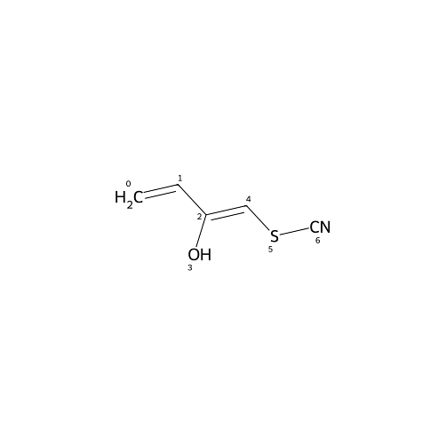 C=CC(O)=CSC#N